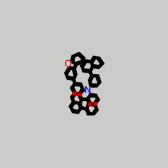 c1ccc(-c2cccc3cccc(-c4ccccc4N(c4cccc(-c5ccc6oc7ccccc7c6c5)c4)c4cccc(-c5cccc6ccccc56)c4)c23)cc1